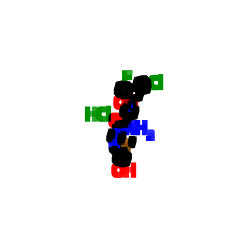 CCSc1ccc(O)cc1CN1CCN(C(=O)C(N)C2CCN(CCc3cc(Cl)ccc3-c3cc(O)ccc3F)CC2)CC1.Cl